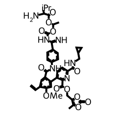 C=Cc1cc(C(=O)Nc2ccc(C(=N)NC(=O)OC(C)OC(=O)C(N)C(C)C)cc2)c(-c2ccc(C(=O)NCC3CC3)nc2C(=O)OCc2oc(=O)oc2C)cc1OC